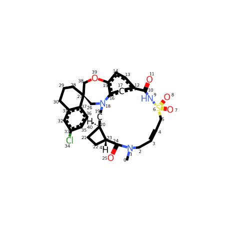 CN1C/C=C\CS(=O)(=O)NC(=O)c2ccc3c(c2)N(C[C@@H]2CC[C@H]2C1=O)C[C@@]1(CCCc2cc(Cl)ccc21)CO3